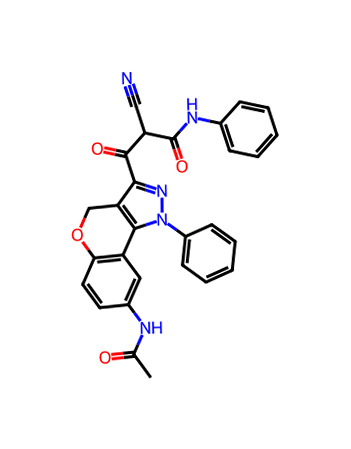 CC(=O)Nc1ccc2c(c1)-c1c(c(C(=O)C(C#N)C(=O)Nc3ccccc3)nn1-c1ccccc1)CO2